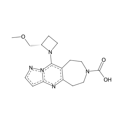 COC[C@@H]1CCN1c1c2c(nc3ccnn13)CCN(C(=O)O)CC2